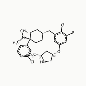 CN(C)[C@]1(c2cccc(Cl)c2)CC[C@@H](Cc2cc(O[C@@H]3CN[C@H](C(=O)O)C3)cc(F)c2Cl)CC1